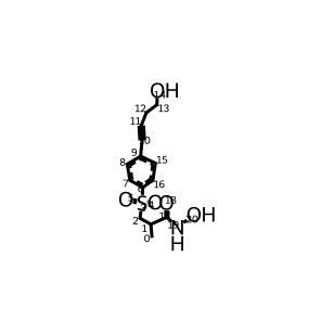 CC(CS(=O)(=O)c1ccc(C#CCCO)cc1)C(=O)NO